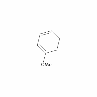 COC1=CC=CCC1